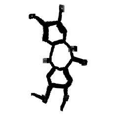 COc1cc2c(cc1OC)C(=O)Nc1cc(Cl)c(Cl)cc1N2